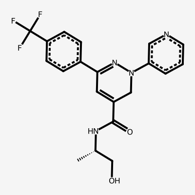 C[C@@H](CO)NC(=O)C1=CC(c2ccc(C(F)(F)F)cc2)=NN(c2cccnc2)C1